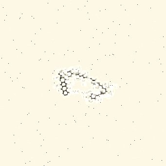 COc1cccc2c1C(=O)c1c(O)c3c(c(O)c1C2=O)CC(O)(C(=O)CO)CC3OC1CC(NCC(O)C(O)C(O)C(O)COCc2cn(CC(O)C(O)C3OC(OCC4OC(OC)C(O)C(O)C4O)(C(=O)O)CC(O)C3NC(C)=O)nn2)C(O)C(C)O1